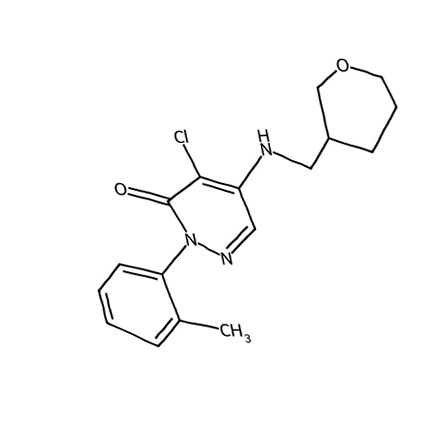 Cc1ccccc1-n1ncc(NCC2CCCOC2)c(Cl)c1=O